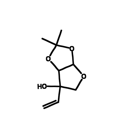 C=CC1(O)COC2OC(C)(C)OC21